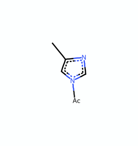 CC(=O)n1cnc(C)c1